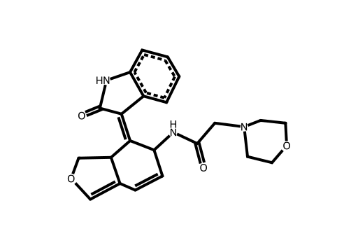 O=C(CN1CCOCC1)NC1C=CC2=COCC2C1=C1C(=O)Nc2ccccc21